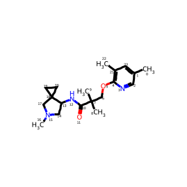 Cc1cnc(OCC(C)(C)C(=O)NC2CN(C)CC23CC3)c(C)c1